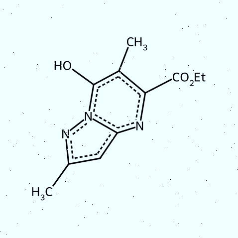 CCOC(=O)c1nc2cc(C)nn2c(O)c1C